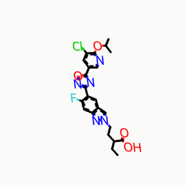 CCC(CCn1cc2cc(-c3noc(-c4cnc(OC(C)C)c(Cl)c4)n3)c(F)cc2n1)C(=O)O